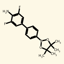 CC1(C)OB(c2ccc(-c3cc(F)c(N)c(F)c3)cc2)OC1(C)C